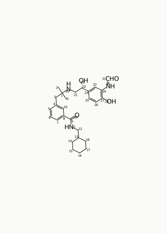 CC(C)(Cc1cccc(C(=O)NCC2CCCCC2)c1)NC[C@H](O)c1ccc(O)c(NC=O)c1